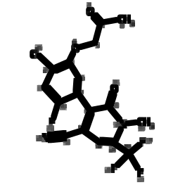 CC(=O)COc1cc(-c2c(C#N)cc(C(F)(F)F)n(C)c2=O)c(F)cc1Cl